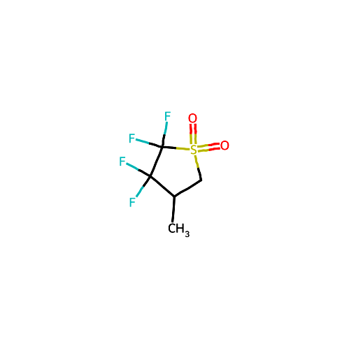 CC1CS(=O)(=O)C(F)(F)C1(F)F